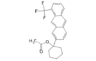 CC(=O)OC1(c2ccc3cc4cccc(C(F)(F)F)c4cc3c2)CCCCC1